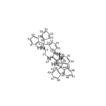 CN(CCNC(c1ccccc1)(c1ccccc1)c1ccccc1)c1cnn(C)c1NC(c1ccccc1)(c1ccccc1)c1ccccc1